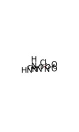 COC(=O)c1cnc(-c2ccc(-c3nc4c([nH]3)C=C=CN4)nc2)c(Cl)c1